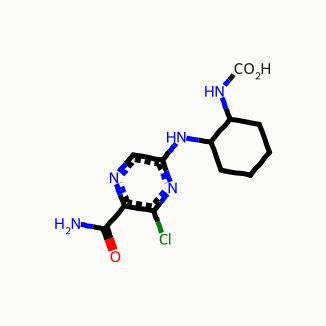 NC(=O)c1ncc(NC2CCCCC2NC(=O)O)nc1Cl